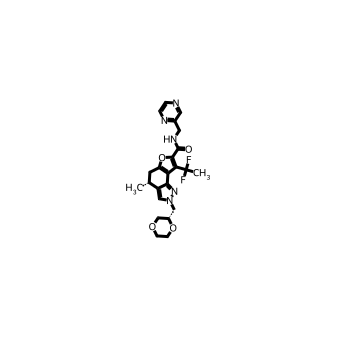 C[C@@H]1Cc2oc(C(=O)NCc3cnccn3)c(C(C)(F)F)c2-c2nn(C[C@H]3COCCO3)cc21